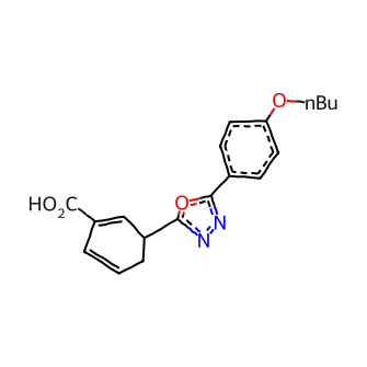 CCCCOc1ccc(-c2nnc(C3C=C(C(=O)O)C=CC3)o2)cc1